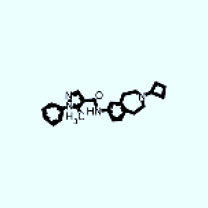 Cc1c(C(=O)Nc2ccc3c(c2)CCN(C2CCC2)CC3)cnn1-c1ccccc1